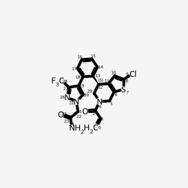 C=CC(=O)N1Cc2sc(Cl)cc2[C@H](c2ccccc2-c2cn(CC(N)=O)nc2C(F)(F)F)C1